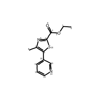 CCOC(=O)c1nc(C)c(-c2cccnc2)s1